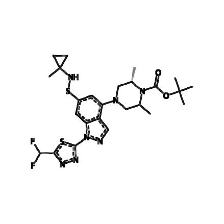 CC1CN(c2cc(SNC3(C)CC3)cc3c2cnn3-c2nnc(C(F)F)s2)C[C@H](C)N1C(=O)OC(C)(C)C